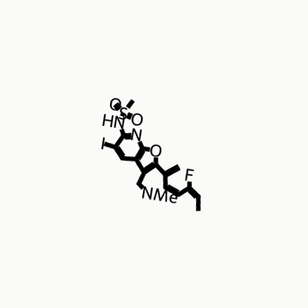 C=C(/C=C\C(F)=C/C)c1oc2nc(NS(C)(=O)=O)c(I)cc2c1CNC